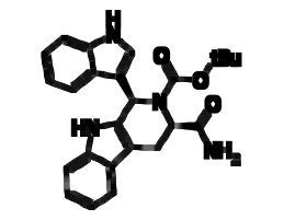 CC(C)(C)OC(=O)N1[C@H](c2c[nH]c3ccccc23)c2[nH]c3ccccc3c2C[C@@H]1C(N)=O